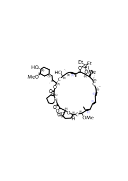 CC[Si](CC)(CC)O[C@@H]1/C(C)=C/[C@@H](C)[C@H](O)C[C@@H]([C@H](C)C[C@@H]2CC[C@@H](O)[C@H](OC)C2)OC(=O)[C@@H]2CCCCN2C(=O)C(=O)[C@]2(O)O[C@@H](CC[C@H]2C)C[C@H](OC)/C(C)=C/C=C/C=C/[C@@H](C)C[C@@H](C)C(=O)[C@@H]1OC